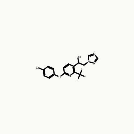 OC(Cn1cncn1)c1ccc(Oc2ccc(Cl)cc2)nc1C(F)(F)F